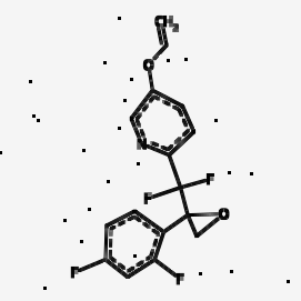 C=COc1ccc(C(F)(F)C2(c3ccc(F)cc3F)CO2)nc1